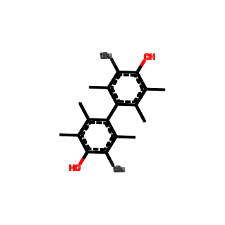 Cc1c(C)c(-c2c(C)c(C)c(O)c(C(C)(C)C)c2C)c(C)c(C(C)(C)C)c1O